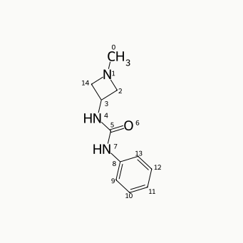 CN1CC(NC(=O)Nc2ccccc2)C1